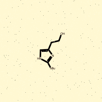 CCCCc1nc(CCO)c[nH]1